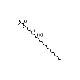 C=C(C)C(=O)OCCNCCCCCCCCCCCCCCCC.Cl